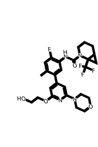 Cc1cc(F)c(NC(=O)N2CCCC3CC32C(F)(F)F)cc1-c1cc(OCCO)nc(N2CCOCC2)c1